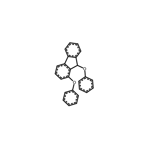 c1ccc(Oc2cccc3c2C(Oc2ccccc2)c2ccccc2-3)cc1